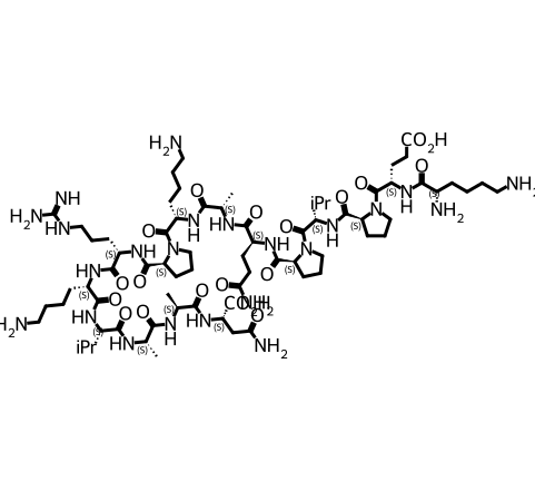 CC(C)[C@H](NC(=O)[C@H](CCCCN)NC(=O)[C@H](CCCNC(=N)N)NC(=O)[C@@H]1CCCN1C(=O)[C@H](CCCCN)NC(=O)[C@H](C)NC(=O)[C@H](CCC(N)=O)NC(=O)[C@@H]1CCCN1C(=O)[C@@H](NC(=O)[C@@H]1CCCN1C(=O)[C@H](CCC(=O)O)NC(=O)[C@@H](N)CCCCN)C(C)C)C(=O)N[C@@H](C)C(=O)N[C@@H](C)C(=O)N[C@@H](CC(N)=O)C(=O)O